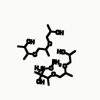 BO[SiH2]C(C)(O)C(C)OCC(C)OCC(C)O.CC(O)COC(C)COC(C)C(C)O